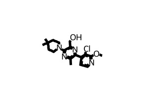 COc1nccc(-c2nc(CO)c(N3CCC(C)(C)CC3)nc2C)c1Cl